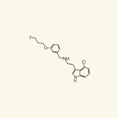 FCCCOc1cccc(CNCCc2c[nH]c3cccc(Cl)c23)c1